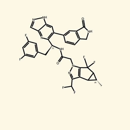 C[C@@H]1C2c3c(C(F)F)nn(CC(=O)N[C@@H](Cc4cc(F)cc(F)c4)c4nc5cn[nH]c5cc4-c4ccc5c(c4)C(=O)NC5)c3C(F)(F)C21